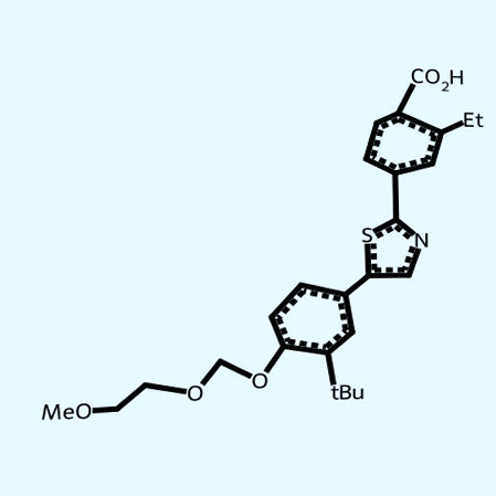 CCc1cc(-c2ncc(-c3ccc(OCOCCOC)c(C(C)(C)C)c3)s2)ccc1C(=O)O